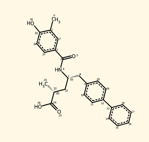 Cc1cc(C(=O)N[C@H](Cc2ccc(-c3ccccc3)cc2)C[C@@H](C)C(=O)O)ccc1O